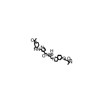 CC(=O)N1CCC(Nc2cc(C(=O)NC[C@H](O)CN3CCc4cc(OCc5ocnc5C)ccc4C3)ccn2)C(C)C1